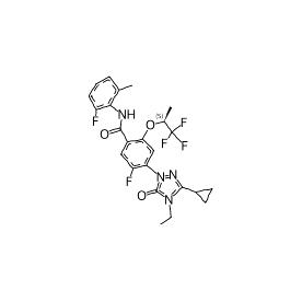 CCn1c(C2CC2)nn(-c2cc(O[C@@H](C)C(F)(F)F)c(C(=O)Nc3c(C)cccc3F)cc2F)c1=O